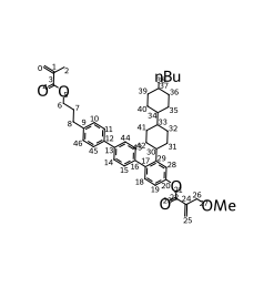 C=C(C)C(=O)OCCCc1ccc(-c2ccc(-c3ccc(OC(=O)C(=C)COC)cc3C3CCC(C4CCC(CCCC)CC4)CC3)cc2)cc1